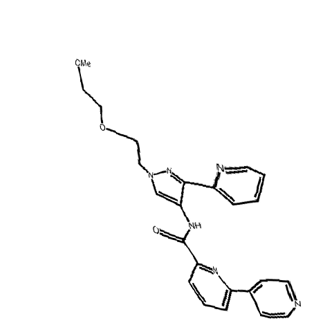 COCCOCCn1cc(NC(=O)c2cccc(-c3ccncc3)n2)c(-c2ccccn2)n1